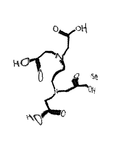 O=C(O)CN(CCN(CC(=O)O)CC(=O)O)CC(=O)O.[Se]